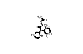 CN1CCNCC1N(C(=O)N=NC(N)=O)C1CNCCN1C